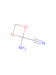 N#CC1(N)OCO1